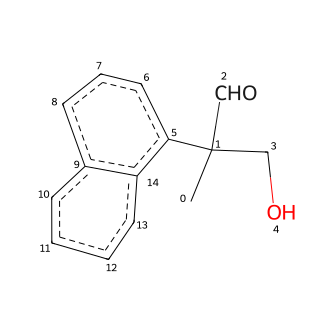 CC(C=O)(CO)c1cccc2ccccc12